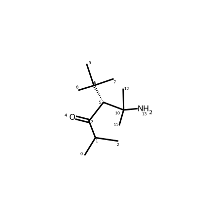 CC(C)C(=O)[C@H](C(C)(C)C)C(C)(C)N